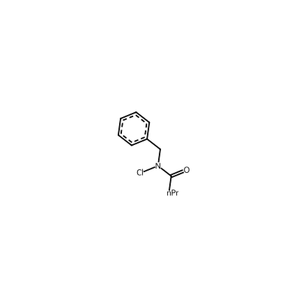 CCCC(=O)N(Cl)Cc1ccccc1